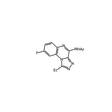 CCc1nnc2c(NC(C)=O)nc3ccc(F)cc3n12